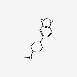 COC1CC[C](c2ccc3c(c2)OCO3)CC1